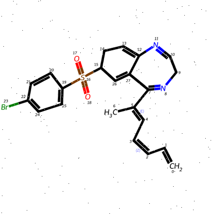 C=C/C=C\C=C(/C)C1=NCC=NC2=CCC(S(=O)(=O)c3ccc(Br)cc3)C=C21